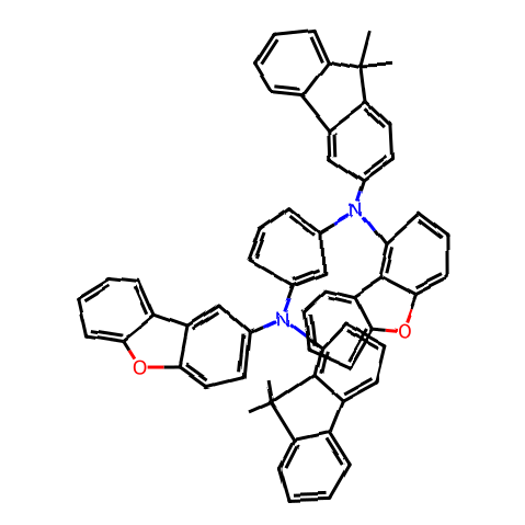 CC1(C)c2ccccc2-c2cc(N(c3cccc(N(c4ccc5oc6ccccc6c5c4)c4cccc5c4C(C)(C)c4ccccc4-5)c3)c3cccc4oc5ccccc5c34)ccc21